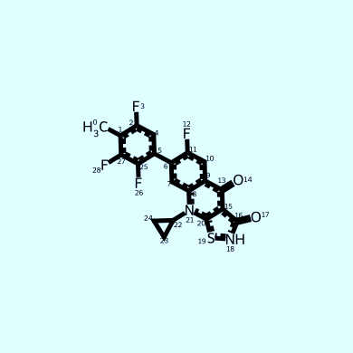 Cc1c(F)cc(-c2cc3c(cc2F)c(=O)c2c(=O)[nH]sc2n3C2CC2)c(F)c1F